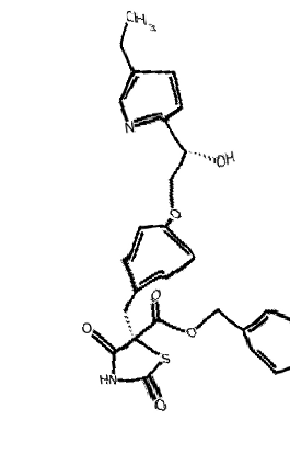 CCc1ccc([C@H](O)COc2ccc(C[C@]3(C(=O)OCc4ccccc4)SC(=O)NC3=O)cc2)nc1